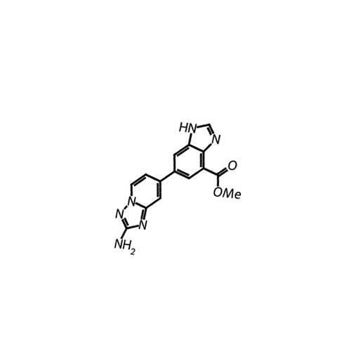 COC(=O)c1cc(-c2ccn3nc(N)nc3c2)cc2[nH]cnc12